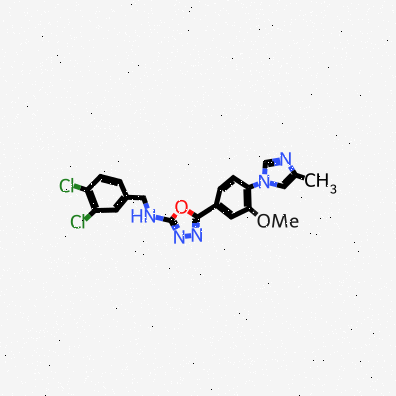 COc1cc(-c2nnc(NCc3ccc(Cl)c(Cl)c3)o2)ccc1-n1cnc(C)c1